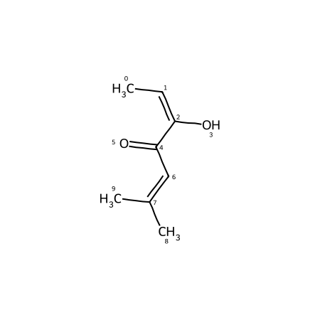 C/C=C(/O)C(=O)C=C(C)C